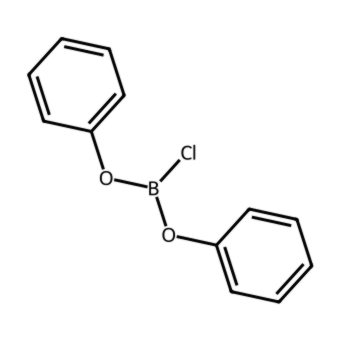 ClB(Oc1ccccc1)Oc1ccccc1